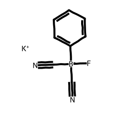 N#C[B-](F)(C#N)c1ccccc1.[K+]